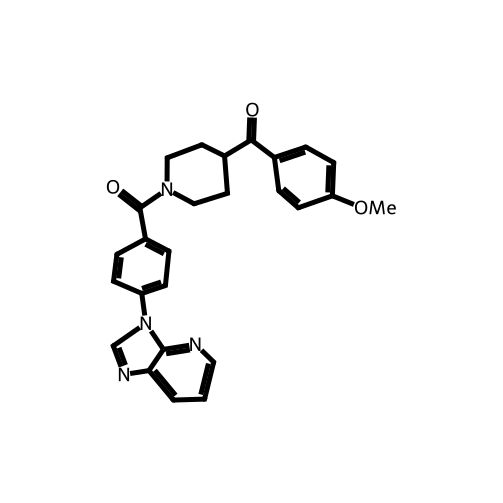 COc1ccc(C(=O)C2CCN(C(=O)c3ccc(-n4cnc5cccnc54)cc3)CC2)cc1